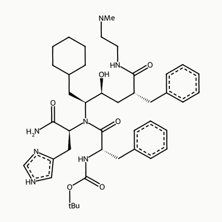 CNCCNC(=O)[C@H](Cc1ccccc1)C[C@H](O)[C@H](CC1CCCCC1)N(C(=O)[C@H](Cc1ccccc1)NC(=O)OC(C)(C)C)[C@@H](Cc1c[nH]cn1)C(N)=O